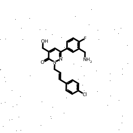 NCc1cc(-c2cc(CO)c(=O)n(CC=Cc3ccc(Cl)cc3)n2)ccc1F